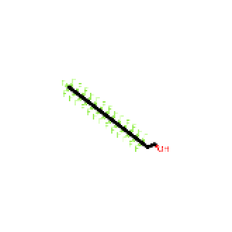 OCCC(F)(F)C(F)(F)C(F)(F)C(F)(F)C(F)(F)C(F)(F)C(F)(F)C(F)(F)C(F)(F)C(F)(F)C(F)(F)C(F)(F)C(F)(F)F